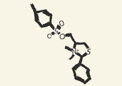 Cc1ccc(S(=O)(=O)OCC2CSC(c3ccccc3)[N+]2(C)C)cc1